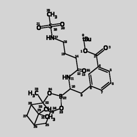 CC(C)(C)OC(=O)c1cccc(CC(NC(=O)CCCNS(C)(=O)=O)B2OC3CC4CC(C4(C)C)C3(C)O2)c1